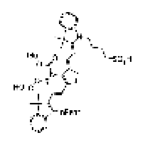 CCCCC[N+]1=C(/C=C/C2=C(N(SOOO)C(=O)OC(C)(C)C)C(=C/C=C3/N(CCCCS(=O)(=O)O)c4ccccc4C3(C)C)/CC2)C(C)(C)c2ccccc21